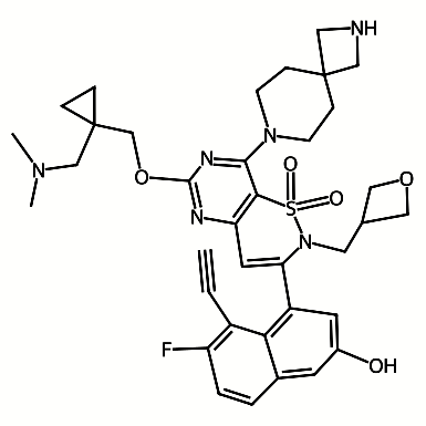 C#Cc1c(F)ccc2cc(O)cc(C3=Cc4nc(OCC5(CN(C)C)CC5)nc(N5CCC6(CC5)CNC6)c4S(=O)(=O)N3CC3COC3)c12